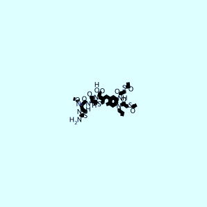 CCCN(C(=O)CSC(C)=O)c1cc(C)c(CC2=C(C(=O)O)N3C(=O)[C@@H](NC(=O)/C(=N\OC)c4csc(N)n4)[C@H]3SC2)cc1NC(=O)CSC(C)=O